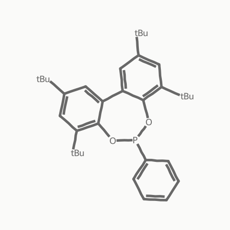 CC(C)(C)c1cc(C(C)(C)C)c2op(-c3ccccc3)oc3c(C(C)(C)C)cc(C(C)(C)C)cc3c2c1